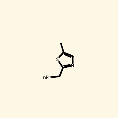 CCCCc1ncc(C)s1